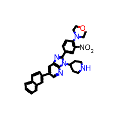 O=[N+]([O-])c1cc(-c2nc3cc(-c4ccc5ccccc5c4)cnc3n2C2CCNCC2)ccc1N1CCOCC1